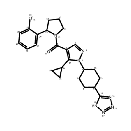 O=C(c1cnn(C2CCC(c3nnn[nH]3)CC2)c1C1CC1)N1CCCC1c1ccccc1C(F)(F)F